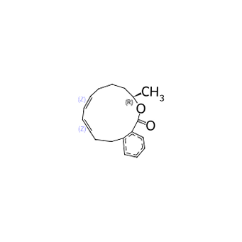 C[C@@H]1CCC/C=C\C=C/CCc2ccccc2C(=O)O1